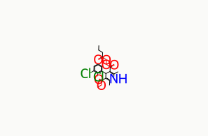 CCCC(=O)OOC(=O)C1=C(C)NC(C)=C(C(=O)OC)C1c1cccc(Cl)c1Cl